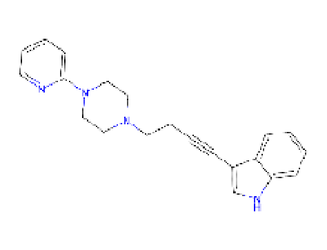 C(#Cc1c[nH]c2ccccc12)CCN1CCN(c2ccccn2)CC1